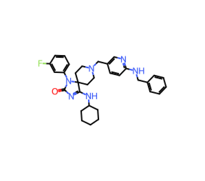 O=C1N=C(NC2CCCCC2)C2(CCN(Cc3ccc(NCc4ccccc4)nc3)CC2)N1c1cccc(F)c1